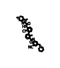 Cc1c(-c2nc3cc(CN4CCCCC4)cc(C#N)c3o2)cccc1-c1cccc(NC(=O)c2nc3c(n2C)CCN(C)C3)c1Cl